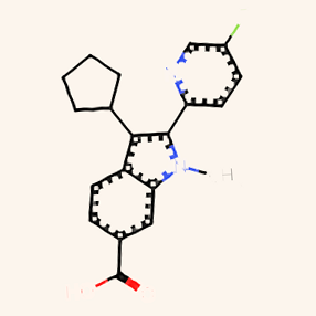 Cn1c(-c2ccc(F)cn2)c(C2CCCC2)c2ccc(C(=O)O)cc21